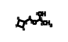 CC(O)OCC1CCC1